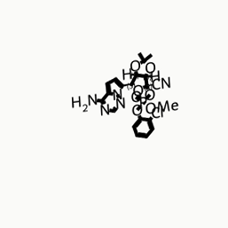 COP(=O)(Oc1ccccc1Cl)O[C@@]1(C#N)O[C@@H](c2ccc3c(N)ncnn23)[C@@H]2OC(C)(C)O[C@@H]21